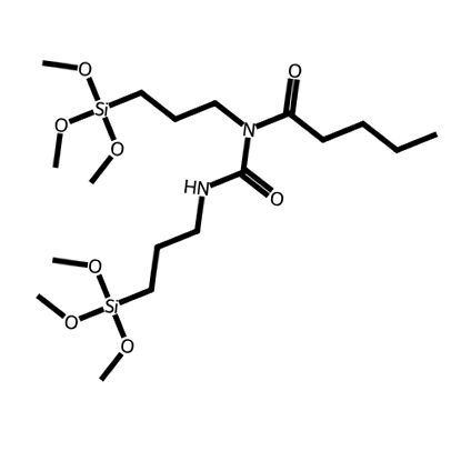 CCCCC(=O)N(CCC[Si](OC)(OC)OC)C(=O)NCCC[Si](OC)(OC)OC